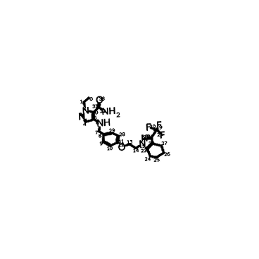 CCn1ncc(NCc2ccc(OCCn3nc(C(F)(F)F)c4c3CCCC4)cc2)c1C(N)=O